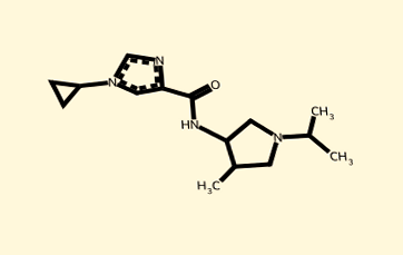 CC1CN(C(C)C)CC1NC(=O)c1cn(C2CC2)cn1